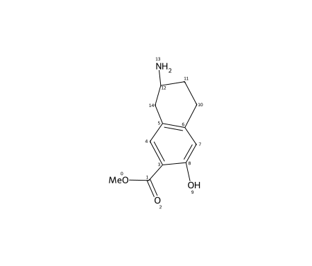 COC(=O)c1cc2c(cc1O)CCC(N)C2